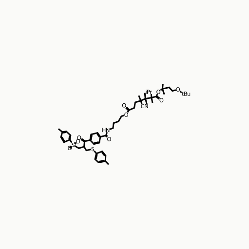 Cc1ccc(SCC(CS(=O)(=O)c2ccc(C)cc2)C(=O)c2ccc(C(=O)NCCCCOC(=O)CCC(C)(C#N)C(C)(C)C(C)(C(=O)OC(C)(C)CCOC(C)(C)C)C(C)C)cc2)cc1